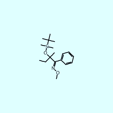 CCC(C)(O[Si](C)(C)C(C)(C)C)/C(=N/OC)c1ccccc1